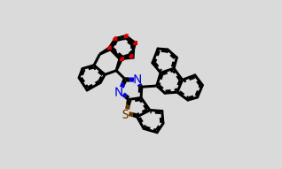 c1ccc2c(c1)C1c3ccccc3C2(c2nc(-c3cc4ccccc4c4ccccc34)c3c(n2)sc2ccccc23)c2ccccc21